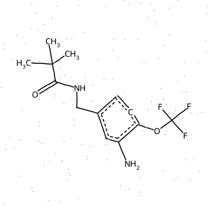 CC(C)(C)C(=O)NCc1ccc(OC(F)(F)F)c(N)c1